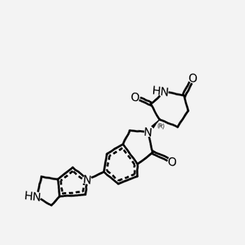 O=C1CC[C@@H](N2Cc3cc(-n4cc5c(c4)CNC5)ccc3C2=O)C(=O)N1